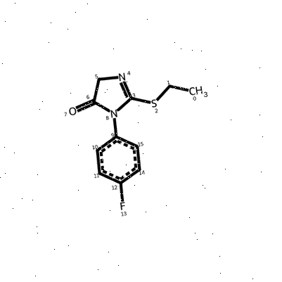 CCSC1=NCC(=O)N1c1ccc(F)cc1